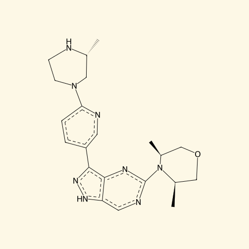 C[C@@H]1CN(c2ccc(-c3n[nH]c4cnc(N5[C@H](C)COC[C@@H]5C)nc34)cn2)CCN1